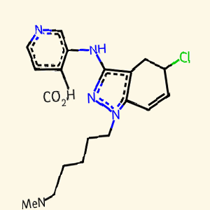 CNCCCCCn1nc(Nc2cnccc2C(=O)O)c2c1C=CC(Cl)C2